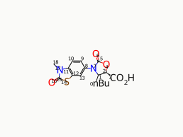 CCCCC1[C@H](C(=O)O)OC(=O)N1c1ccc2c(c1)sc(=O)n2C